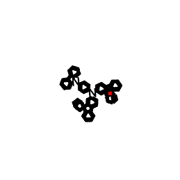 c1ccc2c(c1)-c1ccc(N(c3ccc(-n4c5ccccc5c5ccccc54)cc3)c3ccc4c(c3)C3(c5ccccc5-4)C4CC5CC(C4)CC3C5)cc1C21CC2CCC1C2